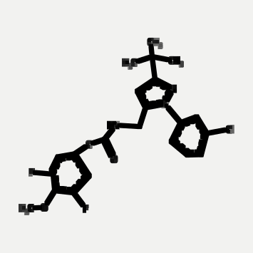 COc1c(F)cc(CC(=O)NCc2cc(C(C)(C)C)nn2-c2cccc(Cl)c2)cc1F